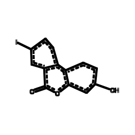 O=c1oc2cc(O)ccc2c2ccc(I)cc12